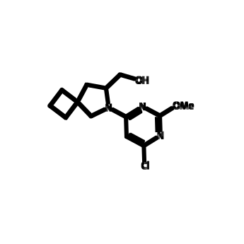 COc1nc(Cl)cc(N2CC3(CCC3)CC2CO)n1